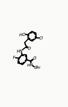 CC(C)(C)NC(=O)c1ccc(F)c(NC(=O)Cc2cc(Cl)ccc2O)c1